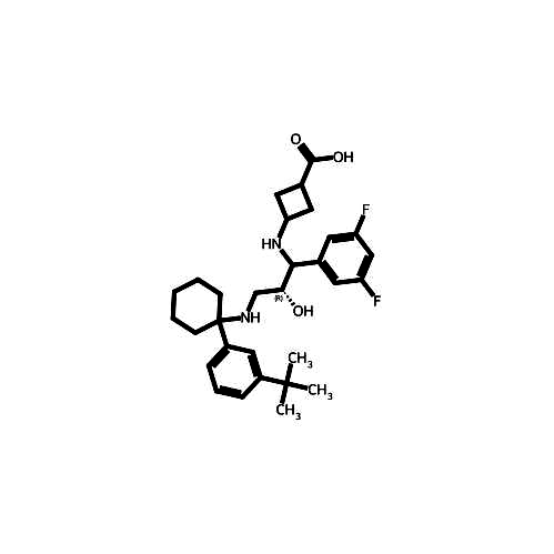 CC(C)(C)c1cccc(C2(NC[C@@H](O)C(NC3CC(C(=O)O)C3)c3cc(F)cc(F)c3)CCCCC2)c1